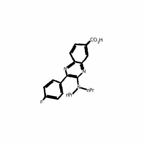 CCCN(CCC)c1nc2cc(C(=O)O)ccc2nc1-c1ccc(F)cc1